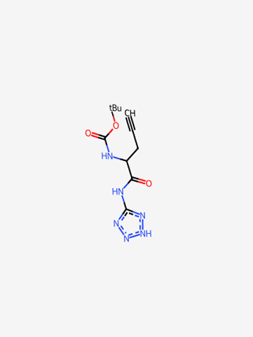 C#CCC(NC(=O)OC(C)(C)C)C(=O)Nc1nn[nH]n1